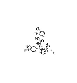 CC(C)(C)n1cc(NC(=O)Nc2cccc(Cl)c2Cl)c(-c2ccc3[nH]ncc3c2)n1